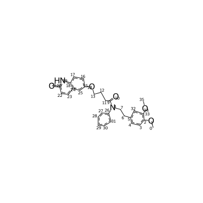 COc1ccc(CCN(C(=O)CCCOc2ccc3[nH]c(=O)ccc3c2)c2ccccc2)cc1OC